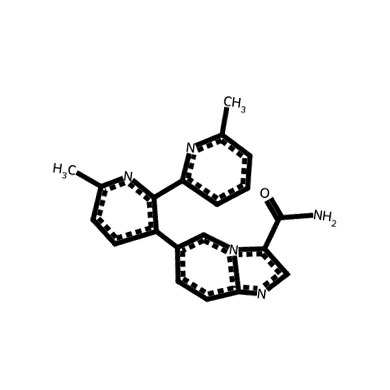 Cc1cccc(-c2nc(C)ccc2-c2ccc3ncc(C(N)=O)n3c2)n1